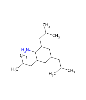 CC(C)CC1CC(CC(C)C)C(N)C(CC(C)C)C1